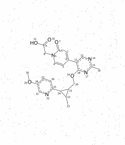 C/C=C(\C=C/N(C=O)CC(=O)O)c1cnc(C)nc1OCC1C(C)C1c1ccc(OC)cn1